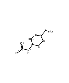 CCC(=O)NC1BOC(CC(C)=O)CC1